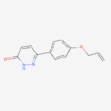 C=CCOc1ccc(-c2ccc(=O)[nH]n2)cc1